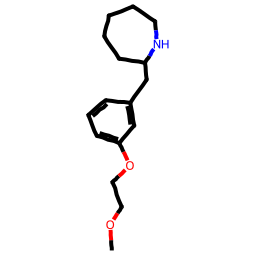 COCCOc1cccc(CC2CCCCCN2)c1